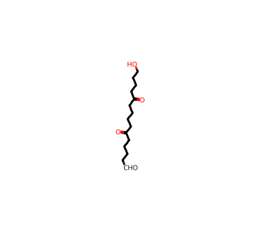 O=CCCCCC(=O)CCCCC(=O)CCCCO